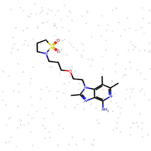 Cc1nc(N)c2nc(C)n(CCOCCCN3CCCS3(=O)=O)c2c1C